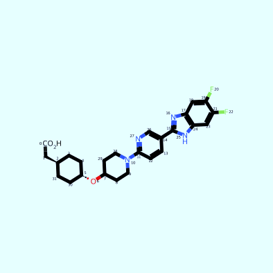 O=C(O)C[C@H]1CC[C@H](OC2CCN(c3ccc(-c4nc5cc(F)c(F)cc5[nH]4)cn3)CC2)CC1